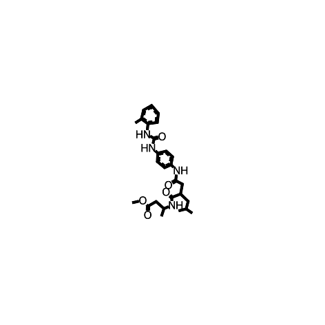 COC(=O)CC(C)NC(=O)C(CC(=O)Nc1ccc(NC(=O)Nc2ccccc2C)cc1)CC(C)C